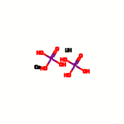 O=P(O)(O)O.O=P(O)(O)O.[Cu].[LiH]